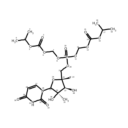 CC(C)OC(=O)OCOP(=O)(OCOC(=O)OC(C)C)OC[C@@]1(F)OC(n2ccc(=O)[nH]c2=O)[C@](C)(O)[C@@H]1O